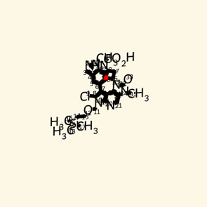 Cn1ncc2cc(-c3c(Cl)n(COCC[Si](C)(C)C)c4ncc5c(c34)n(C3CC(NC(=O)O)C3)c(=O)n5C)ccc21